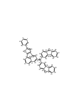 c1ccc(-c2nc3c(o2)-c2cccc4cc(N(c5ccc6oc7ccccc7c6c5)c5ccc6oc7ccccc7c6c5)cc-3c24)cc1